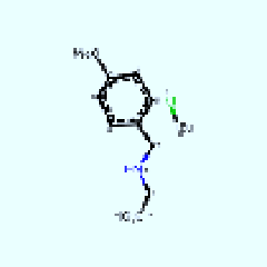 CC(C)(C)Cl.COc1ccc(CNCC(=O)O)cc1